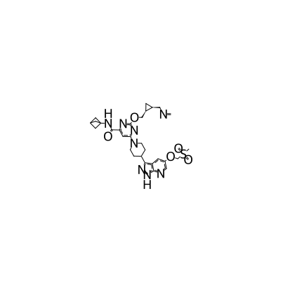 C=NC[C@@H]1C[C@@H]1COc1nc(C(=O)NC23CC(C2)C3)cc(N2CCC(c3n[nH]c4ncc(OCS(C)(=O)=O)cc34)CC2)n1